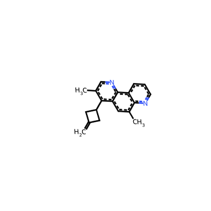 C=C1CC(c2c(C)cnc3c2cc(C)c2ncccc23)C1